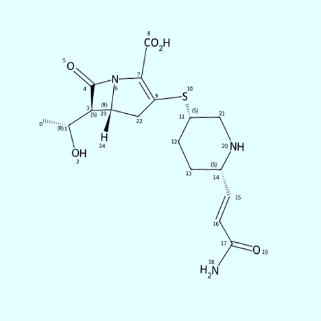 C[C@@H](O)[C@H]1C(=O)N2C(C(=O)O)=C(S[C@H]3CC[C@@H](C=CC(N)=O)NC3)C[C@H]12